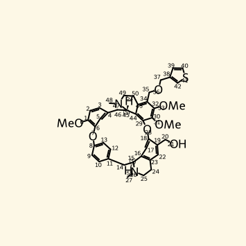 COc1ccc2cc1Oc1ccc(cc1)C[C@H]1c3cc(c(CO)cc3CCN1C)Oc1c(OC)c(OC)c(COCc3ccsc3)c3c1[C@H](C2)N(C)CC3